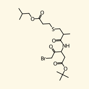 CC(C)COC(=O)CCSCC(C)C(=O)NC(CC(=O)OC(C)(C)C)C(=O)CBr